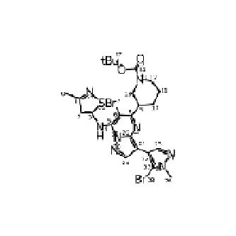 Cc1cc(Nc2c(Br)c(C3CCCN(C(=O)OC(C)(C)C)C3)nc3c(-c4cnn(C)c4Br)cnn23)sn1